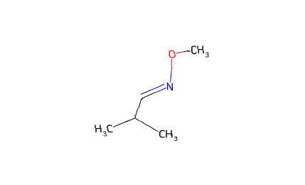 CO/N=C/C(C)C